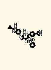 Cn1cc(-c2ccc3cc(C(=O)c4cnn(-c5ccc6[nH]c(C7CC7)nc6c5)c4N)n(S(=O)(=O)c4ccccc4)c3c2)cn1